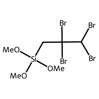 CO[Si](CC(Br)(Br)C(Br)Br)(OC)OC